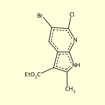 CCOC(=O)c1c(C)[nH]c2nc(Cl)c(Br)cc12